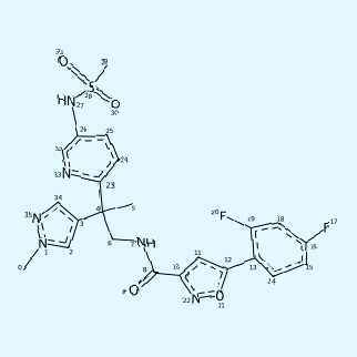 Cn1cc(C(C)(CNC(=O)c2cc(-c3ccc(F)cc3F)on2)c2ccc(NS(C)(=O)=O)cn2)cn1